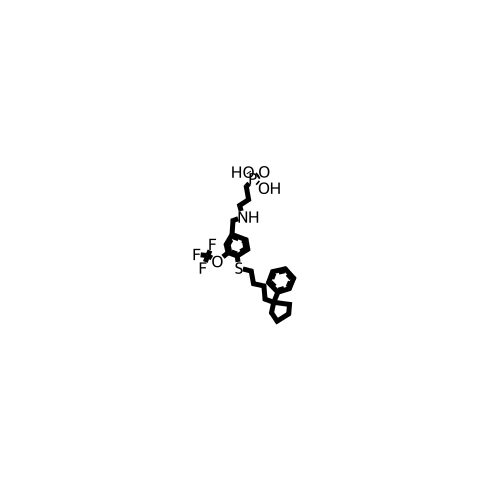 O=P(O)(O)CCCNCc1ccc(SCCCCC2(c3ccccc3)CCCC2)c(OC(F)(F)F)c1